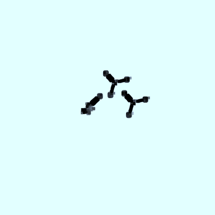 O=[N+]([O-])[O-].O=[N+]([O-])[O-].[Mg+2].[O]=[Zr]